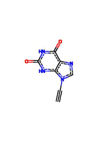 C#Cn1cnc2c(=O)[nH]c(=O)[nH]c21